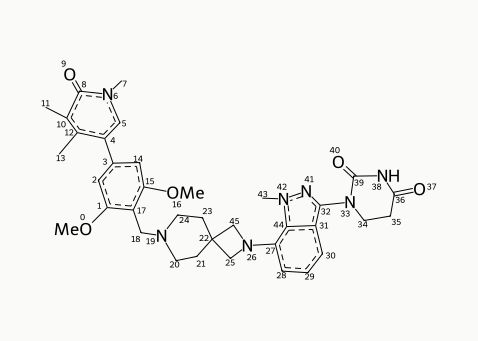 COc1cc(-c2cn(C)c(=O)c(C)c2C)cc(OC)c1CN1CCC2(CC1)CN(c1cccc3c(N4CCC(=O)NC4=O)nn(C)c13)C2